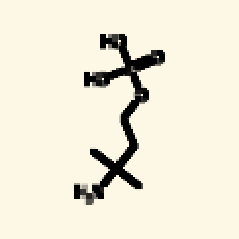 CC(C)(N)CCOP(=O)(O)O